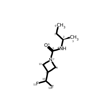 CC[C@@H](C)NC(=O)N1CC(C(F)F)C1